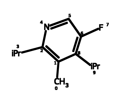 Cc1c(C(C)C)ncc(F)c1C(C)C